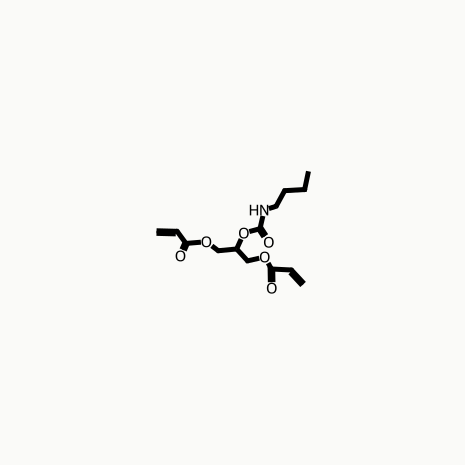 C=CC(=O)OCC(COC(=O)C=C)OC(=O)NCCCC